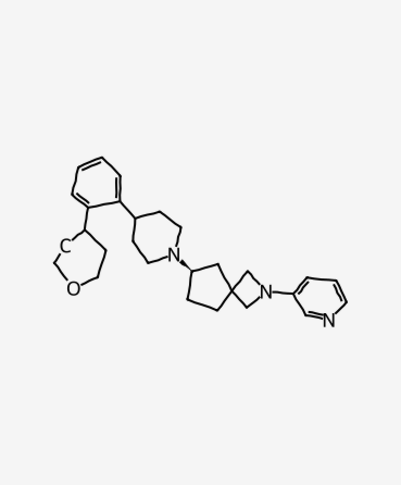 c1cncc(N2CC3(CC[C@@H](N4CCC(c5ccccc5C5CCOCC5)CC4)C3)C2)c1